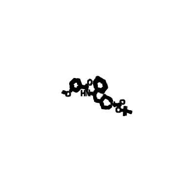 COc1cccc(C(=O)NC(CC2CCN(C(=O)OC(C)(C)C)CC2)c2ccccc2)c1